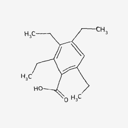 CCc1cc(CC)c(C(=O)O)c(CC)c1CC